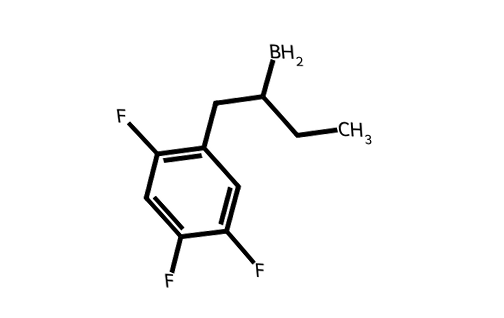 BC(CC)Cc1cc(F)c(F)cc1F